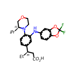 CC[C@H](CC(=O)O)c1ccc(N2CCOC[C@@H]2C(C)C)c(Nc2ccc3c(c2)OC(F)(F)O3)c1